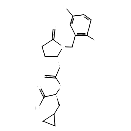 O=C(C[C@@H]1CCC(=O)N1Cc1cc(F)ccc1Cl)N[C@@H](CC1CC1)C(=O)O